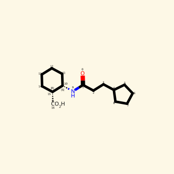 O=C(CCC1CCCC1)N[C@H]1CCCC[C@H]1C(=O)O